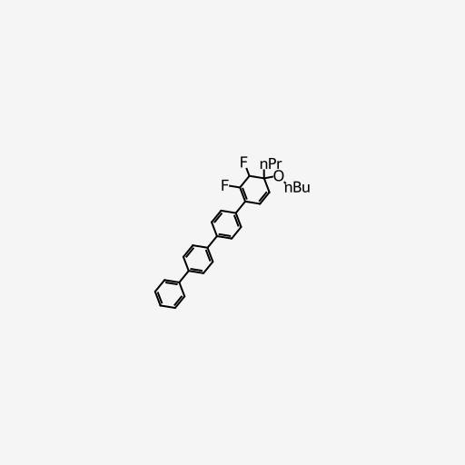 CCCCOC1(CCC)C=CC(c2ccc(-c3ccc(-c4ccccc4)cc3)cc2)=C(F)C1F